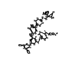 O=C(O)CC1CCN(Cc2cc(Oc3cnc(N4CCN(CCC5(O)CC5)CC4)nc3)nc(-c3cc(Cl)cc(Cl)c3)c2)CC1